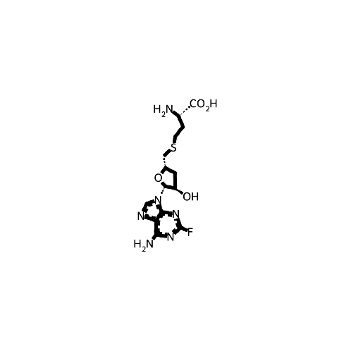 Nc1nc(F)nc2c1ncn2[C@@H]1O[C@H](CSCC[C@H](N)C(=O)O)C[C@H]1O